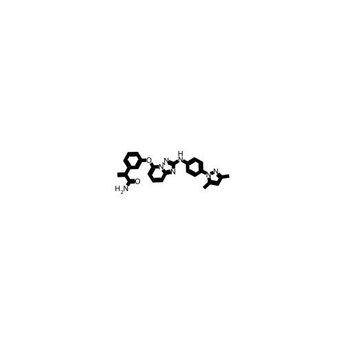 C=C(C(N)=O)c1cccc(Oc2cccc3nc(Nc4ccc(-n5nc(C)cc5C)cc4)nn23)c1